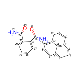 C1=Cc2cccc3cccc(c23)C1.NC(=O)c1ccccc1C(N)=O